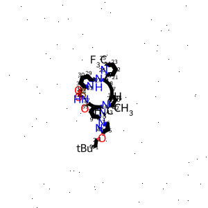 CC(C)(C)CCOc1ccn(-c2ccc3c(n2)N2C[C@@H](CC[C@H](c4cccc(C(F)(F)F)n4)Nc4cccc(n4)S(=O)(=O)NC3=O)CC2(C)C)n1